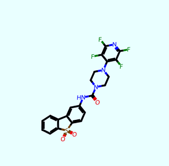 O=C(Nc1ccc2c(c1)-c1ccccc1S2(=O)=O)N1CCN(c2c(F)c(F)nc(F)c2F)CC1